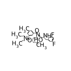 CCCN(CCC)C(=O)c1cc(C)cc(C(=O)N(C[C@@H](O)[C@@H](N)Cc2cc(F)cc(F)c2)C2CCCC(C)C2)c1